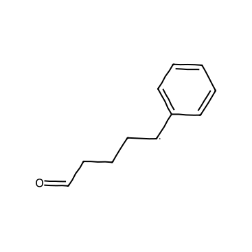 O=CCCC[CH]c1ccccc1